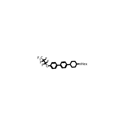 CCCCCCC1CCC(c2ccc(-c3ccc(OC(F)(F)C(F)(F)C(F)(F)F)cc3)cc2)CC1